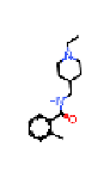 CCN1CCC(CNC(=O)c2ccccc2C)CC1